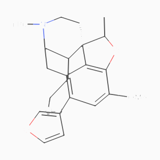 CCCCN1CC[C@@]23c4c(c(-c5ccoc5)cc(OC)c4OC2C)CC1C3CCC=O